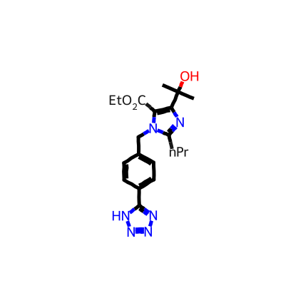 CCCc1nc(C(C)(C)O)c(C(=O)OCC)n1Cc1ccc(-c2nnn[nH]2)cc1